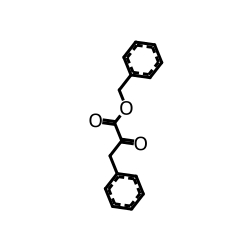 O=C(Cc1ccccc1)C(=O)OCc1ccccc1